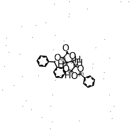 O=C1O[C@@H]2[C@H]3O[C@@H](c4ccccc4)O[C@H]3O[C@@H]2[C@H]1OC(c1ccccc1)c1ccccc1